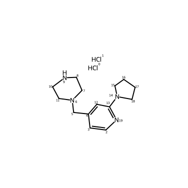 Cl.Cl.c1cc(CN2CCNCC2)cc(N2CCCC2)n1